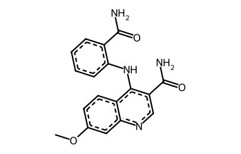 COc1ccc2c(Nc3ccccc3C(N)=O)c(C(N)=O)cnc2c1